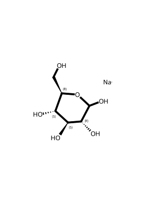 OC[C@H]1OC(O)[C@H](O)[C@@H](O)[C@@H]1O.[Na]